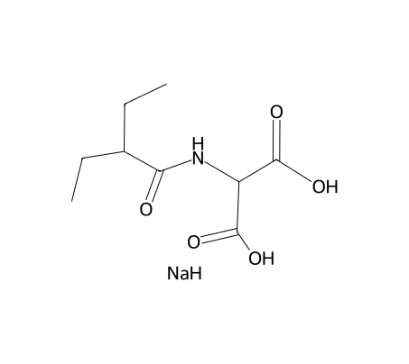 CCC(CC)C(=O)NC(C(=O)O)C(=O)O.[NaH]